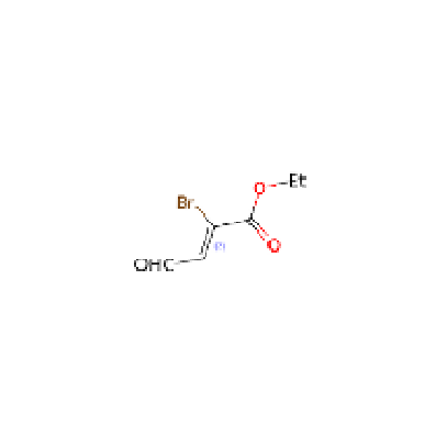 CCOC(=O)/C(Br)=C/C=O